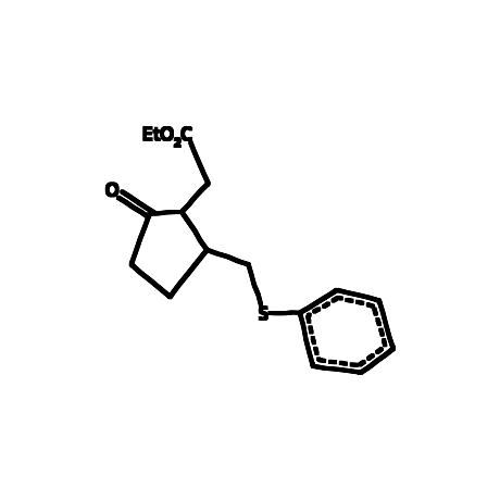 CCOC(=O)CC1C(=O)CCC1CSc1ccccc1